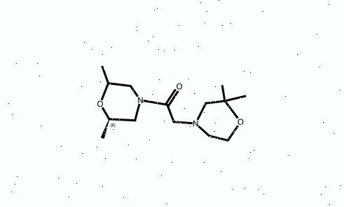 CC1CN(C(=O)CN2CCOC(C)(C)C2)C[C@@H](C)O1